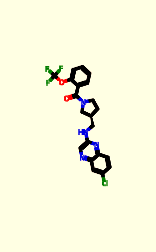 O=C(c1ccccc1OC(F)(F)F)N1CC[C@@H](CNc2cnc3cc(Cl)ccc3n2)C1